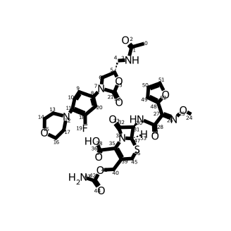 CC(=O)NC[C@H]1CN(c2ccc(N3CCOCC3)c(F)c2)C(=O)O1.CO/N=C(/C(=O)N[C@@H]1C(=O)N2C(C(=O)O)=C(COC(N)=O)CS[C@H]12)c1ccco1